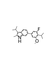 COc1cc(-c2ccc3c(C(C)C)c(C)[nH]c3c2)cc(F)c1C(C)C